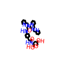 O=C(CN(CCN(Cc1ccccn1)Cc1ccccn1)Cc1ccccn1)Nc1ccc(CC(=O)NC2CC(O)COC2O)cc1